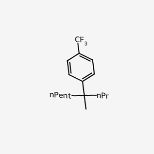 CCCCCC(C)(CCC)c1ccc(C(F)(F)F)cc1